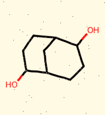 OC1CCC2CC1CCC2O